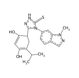 CC(C)C1=C(O)C=C(O)C(c2n[nH]c(=S)n2-c2ccc3cnn(C)c3c2)C1